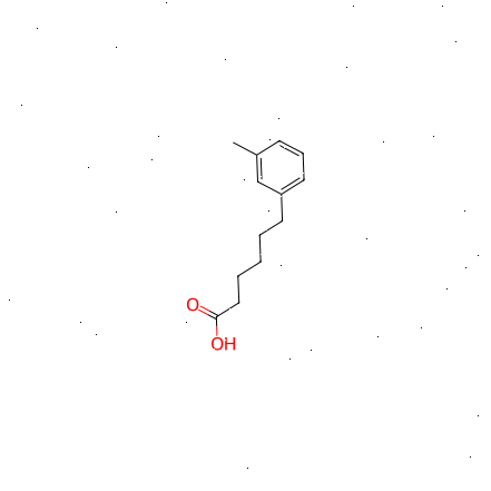 Cc1cccc(CCCCCC(=O)O)c1